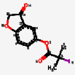 CCC(C)(I)C(=O)Oc1ccc2c(c1)C(=O)CO2